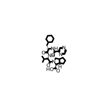 CC(C)[C@H](NC(=O)[C@H](CC1CCCCC1)NC(=O)c1cnccn1)C(=O)N1CC2CCC[C@@H]2[C@H]1C(=O)O